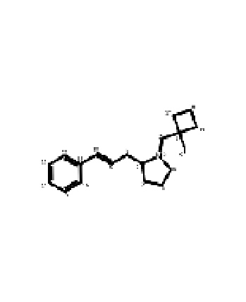 IC1(CN2CCCC2CC=Cc2ccccc2)CCC1